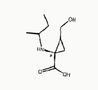 CCC(C)N[C@]1(C(=O)O)CC1CO